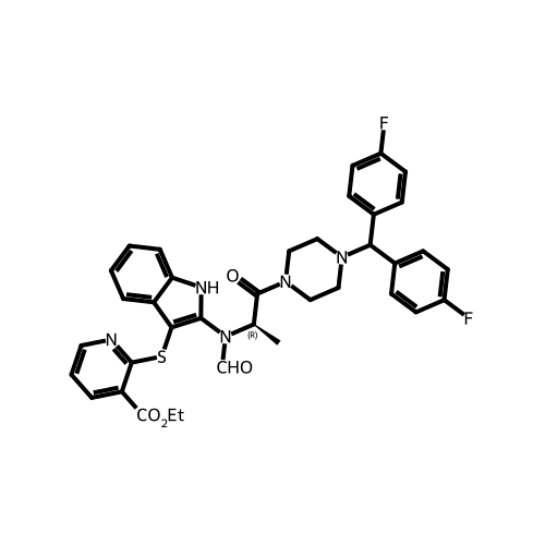 CCOC(=O)c1cccnc1Sc1c(N(C=O)[C@H](C)C(=O)N2CCN(C(c3ccc(F)cc3)c3ccc(F)cc3)CC2)[nH]c2ccccc12